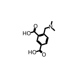 CN(C)Cc1ccc(C(=O)O)cc1C(=O)O